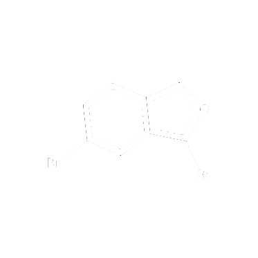 Brc1ccc2[c]oc(Br)c2c1